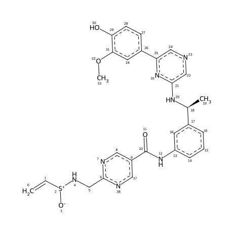 C=C[S+]([O-])NCc1ncc(C(=O)Nc2cccc([C@H](C)Nc3cncc(-c4ccc(O)c(OC)c4)n3)c2)cn1